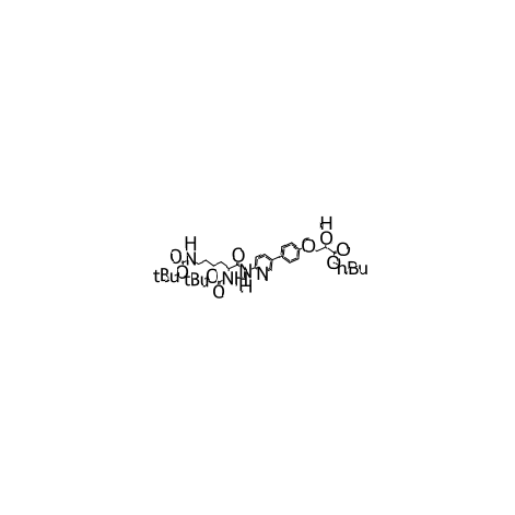 CCCCOC(=O)C(O)COc1ccc(-c2ccc(NC(=O)C(CCCCNC(=O)OC(C)(C)C)NC(=O)OC(C)(C)C)nc2)cc1